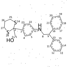 OCC1(c2ccc(NCC(c3ccccc3)c3ccccc3)cc2)SCCCS1